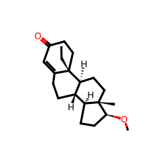 CC[C@]12CCC(=O)C=C1CC[C@@H]1[C@@H]2CC[C@]2(C)[C@@H](OC)CC[C@@H]12